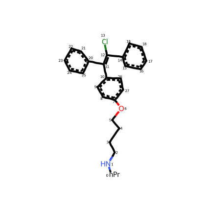 CCCNCCCCOc1ccc(/C(=C(/Cl)c2ccccc2)c2ccccc2)cc1